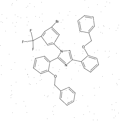 FC(F)(F)c1cc(Br)cc(-n2cc(-c3ccccc3OCc3ccccc3)nc2-c2ccccc2OCc2ccccc2)c1